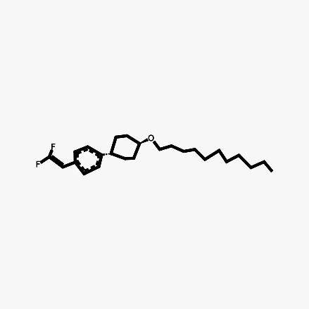 CCCCCCCCCCCO[C@H]1CC[C@H](c2ccc(C=C(F)F)cc2)CC1